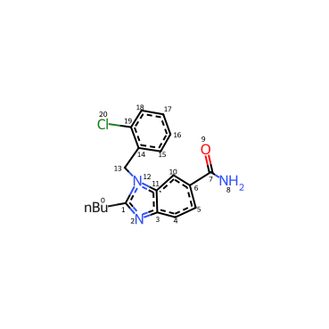 CCCCc1nc2ccc(C(N)=O)cc2n1Cc1ccccc1Cl